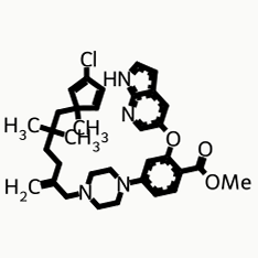 C=C(CCC(C)(C)CC1(C)C=CC(Cl)=C1)CN1CCN(c2ccc(C(=O)OC)c(Oc3cnc4[nH]ccc4c3)c2)CC1